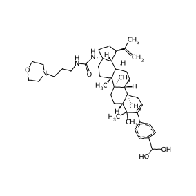 C=C(C)[C@@H]1CC[C@]2(NC(=O)NCCCN3CCOCC3)CC[C@]3(C)[C@H](CC[C@@H]4[C@@]5(C)CC=C(c6ccc(C(O)O)cc6)C(C)(C)[C@@H]5CC[C@]43C)[C@@H]12